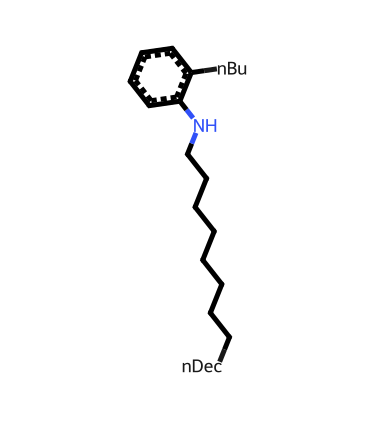 CCCCCCCCCCCCCCCCCCNc1ccccc1CCCC